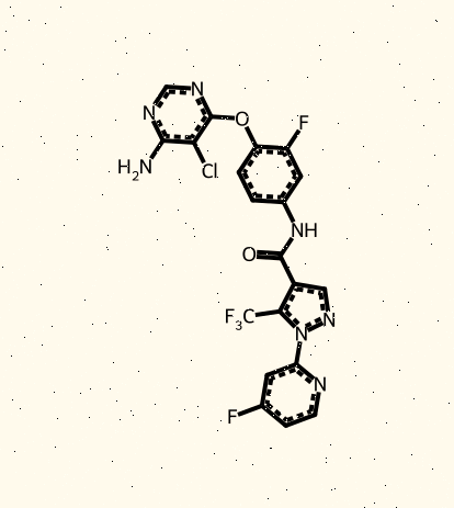 Nc1ncnc(Oc2ccc(NC(=O)c3cnn(-c4cc(F)ccn4)c3C(F)(F)F)cc2F)c1Cl